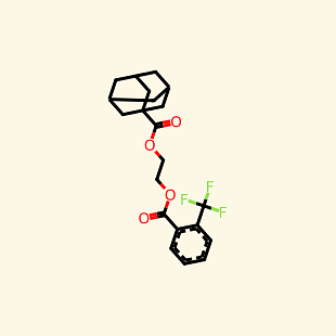 O=C(OCCOC(=O)C12CC3CC(CC(C3)C1)C2)c1ccccc1C(F)(F)F